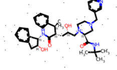 C[C@H](c1ccccc1)[C@H](C[C@H](O)CN1CCN(Cc2cccnc2)C[C@H]1C(=O)NC(C)(C)C)C(=O)N[C@H]1c2ccccc2C[C@H]1O